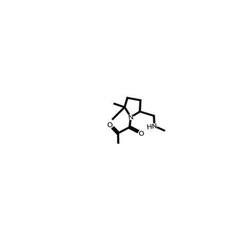 CNCC1CCC(C)(C)N1C(=O)C(C)=O